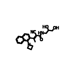 C/C(=C(/C#N)C(=O)NCC(O)CO)c1ccc2ccccc2c1N1CCC1